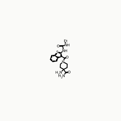 CCNC(=O)Nc1sc2ccccc2c1C(=O)N1CCC(N)(C(N)=O)CC1